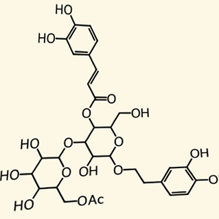 CC(=O)OCC1OC(OC2C(O)C(OCCc3ccc(O)c(O)c3)OC(CO)C2OC(=O)C=Cc2ccc(O)c(O)c2)C(O)C(O)C1O